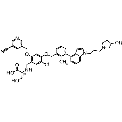 Cc1c(COc2cc(OCc3cncc(C#N)c3)c(CN[C@@H](CO)C(=O)O)cc2Cl)cccc1-c1cccc2c1ccn2CCCN1CCC(O)C1